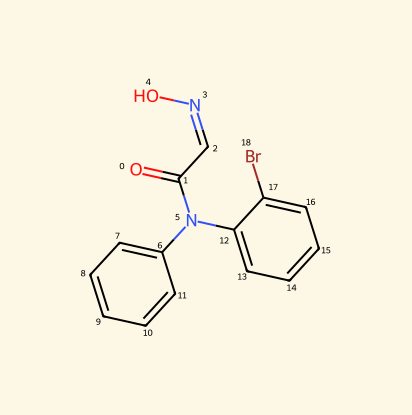 O=C(/C=N\O)N(c1ccccc1)c1ccccc1Br